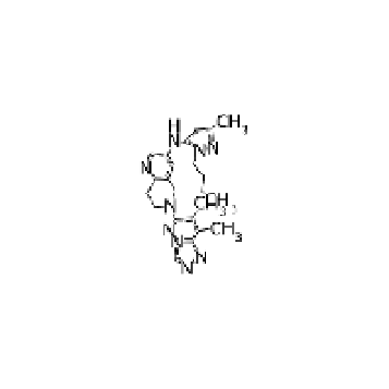 CCCCn1nc(C)cc1Nc1cnc2c(c1)CN(c1nn3cnnc3c(C)c1C)CC2